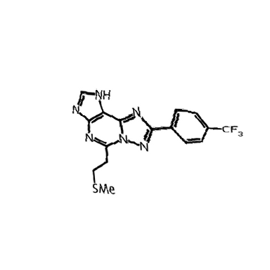 CSCCc1nc2nc[nH]c2c2nc(-c3ccc(C(F)(F)F)cc3)nn12